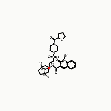 CC(C)n1c(=O)c(C(=O)N[C@@H]2C[C@H]3CC[C@@H](C2)N3CCCS(=O)(=O)N2CCN(C(=O)C3CCCO3)CC2)cc2ccccc21